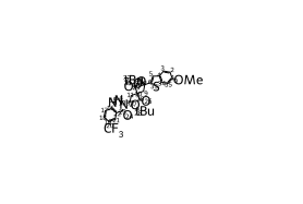 COc1ccc2cc(C(=O)CC(CCn3nnc4ccc(C(F)(F)F)cc4c3=O)(C(=O)OC(C)(C)C)C(=O)OC(C)(C)C)sc2c1